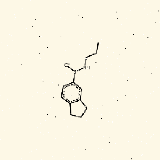 CCCN[S+]([O-])c1ccc2c(c1)CCC2